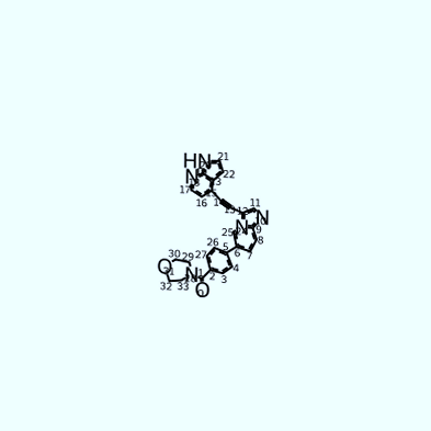 O=C(c1ccc(-c2ccc3ncc(C#Cc4ccnc5[nH]ccc45)n3c2)cc1)N1CCOCC1